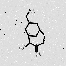 C=C1CCC2CC(CN)CC(C2)C1C